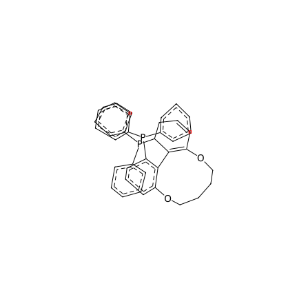 C1=CC2=C(c3c(cccc3P(c3ccccc3)c3ccccc3)OCCCCO2)C(P(c2ccccc2)c2ccccc2)C1